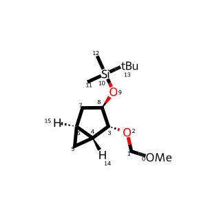 COCO[C@@H]1[C@@H]2C[C@H]2C[C@H]1O[Si](C)(C)C(C)(C)C